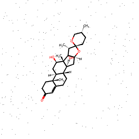 C[C@@H]1CC[C@@]2(OC1)O[C@H]1C[C@H]3[C@@H]4CCC5=CC(=O)CC[C@]5(C)[C@H]4C[C@@H](O)[C@]3(C)[C@@]1(O)[C@@H]2C